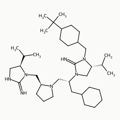 CC(C)[C@@H]1CNC(=N)N1C[C@@H]1CCCN1C[C@@H](CC1CCCCC1)N1C[C@@H](C(C)C)N(CC2CCC(C(C)(C)C)CC2)C1=N